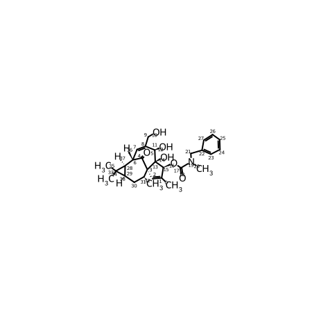 CC1=C[C@]23C(=O)[C@@H](C=C(CO)[C@@H](O)[C@]2(O)[C@H]1OC(=O)N(C)Cc1ccccc1)[C@H]1[C@@H](C[C@H]3C)C1(C)C